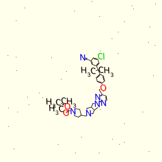 CC(C)(C)OC(=O)N1CCC(CN2CC3CN(c4nccc(COc5ccc(C(C)(C)c6cc(Cl)cc(C#N)c6)cc5)n4)CC3C2)CC1